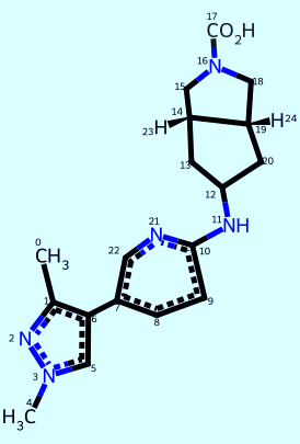 Cc1nn(C)cc1-c1ccc(NC2C[C@@H]3CN(C(=O)O)C[C@@H]3C2)nc1